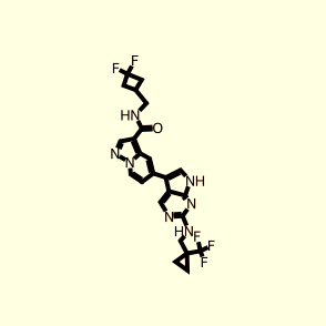 O=C(NCC1CC(F)(F)C1)c1cnn2ccc(-c3c[nH]c4nc(NCC5(C(F)(F)F)CC5)ncc34)cc12